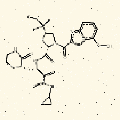 CCC(F)(F)[C@@H]1C[C@@H](C(=O)N[C@@H](C[C@@H]2CCCNC2=O)C(=O)C(=O)NC2CC2)N(C(=O)c2cc3c(OC)cccc3[nH]2)C1